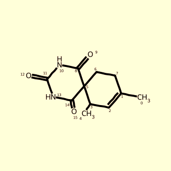 CC1=CC(C)C2(CC1)C(=O)NC(=O)NC2=O